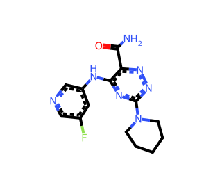 NC(=O)c1nnc(N2CCCCC2)nc1Nc1cncc(F)c1